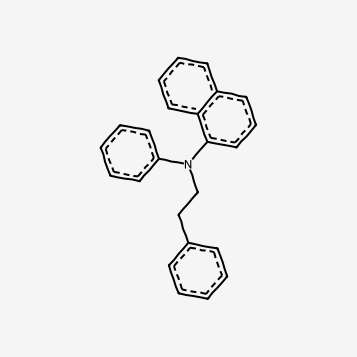 c1ccc(CCN(c2ccccc2)c2cccc3ccccc23)cc1